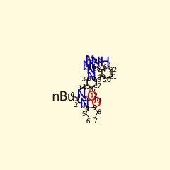 CCCCc1cn(C2CCCCC2=O)c(=O)n1Cc1ccc(-c2ccccc2-c2nnn[nH]2)nc1